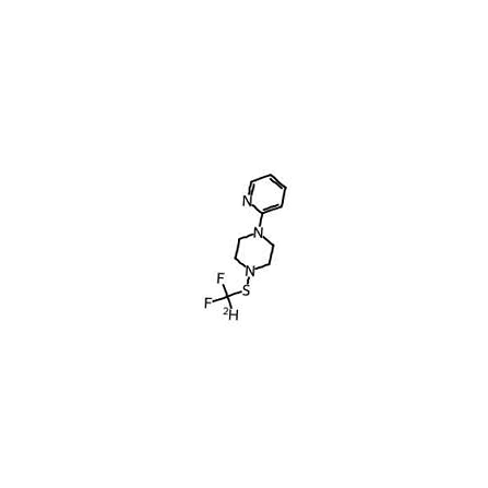 [2H]C(F)(F)SN1CCN(c2ccccn2)CC1